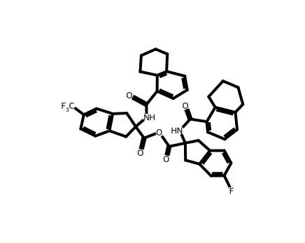 O=C(NC1(C(=O)OC(=O)C2(NC(=O)c3cccc4c3CCCC4)Cc3ccc(C(F)(F)F)cc3C2)Cc2ccc(F)cc2C1)c1cccc2c1CCCC2